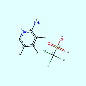 Cc1cnc(N)c(C)c1C.O=S(=O)(O)C(F)(F)F